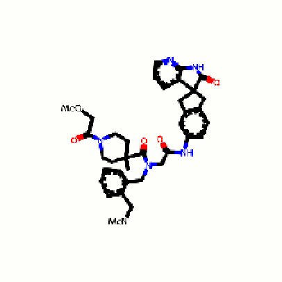 CNCc1ccccc1CN(CC(=O)Nc1ccc2c(c1)CC1(C2)C(=O)Nc2ncccc21)C(=O)C1(C)CCN(C(=O)COC)CC1